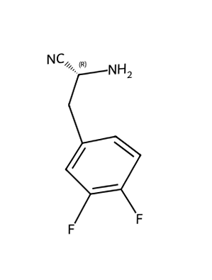 N#C[C@H](N)Cc1ccc(F)c(F)c1